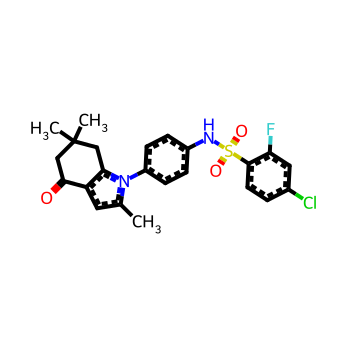 Cc1cc2c(n1-c1ccc(NS(=O)(=O)c3ccc(Cl)cc3F)cc1)CC(C)(C)CC2=O